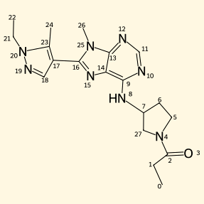 CCC(=O)N1CCC(Nc2ncnc3c2nc(-c2cnn(CC)c2C)n3C)C1